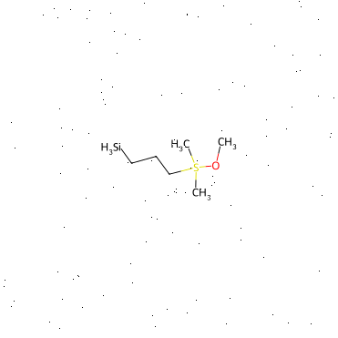 COS(C)(C)CCC[SiH3]